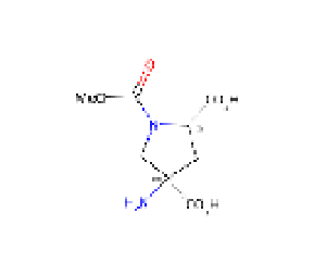 COC(=O)N1C[C@@](N)(C(=O)O)C[C@H]1C(=O)O